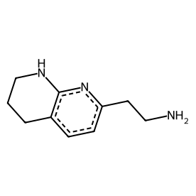 NCCc1ccc2c(n1)NCCC2